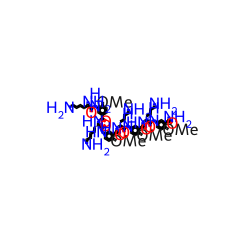 COc1ccc(C(=O)N[C@@H](CCCCCN)C(=O)Nc2ccc(OC)c(C(=O)N[C@@H](CCCCN)C(=O)Nc3ccc(OC)c(C(=O)N[C@@H](CCCCN)C(=O)Nc4ccc(OC)c(C(N)=O)c4)c3)c2)cc1NC(=O)C(N)CCCCN